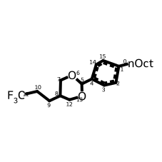 CCCCCCCCc1ccc(C2OCC(CCC(F)(F)F)CO2)cc1